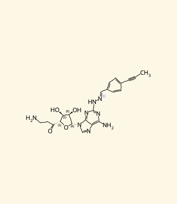 CC#Cc1ccc(/C=N/Nc2nc(N)c3ncn([C@@H]4O[C@H](C(=O)CCN)[C@@H](O)[C@H]4O)c3n2)cc1